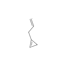 [CH]=CCC1=CC1